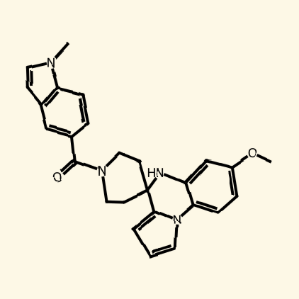 COc1ccc2c(c1)NC1(CCN(C(=O)c3ccc4c(ccn4C)c3)CC1)c1cccn1-2